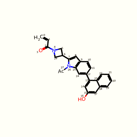 C=CC(=O)N1CC(c2cc3ccc(-c4cc(O)cc5ccccc45)cc3n2C(C)=O)C1